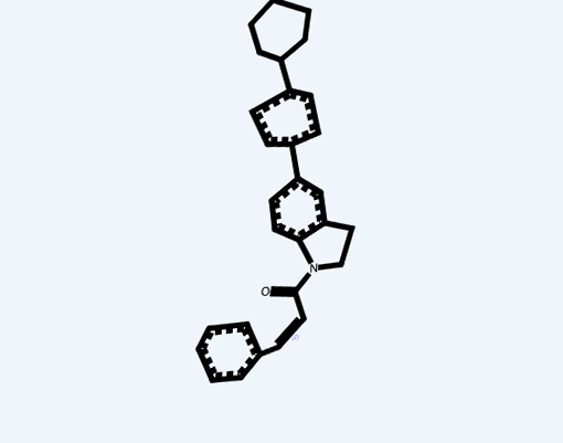 O=C(/C=C\c1ccccc1)N1CCc2cc(-c3ccc(C4CCCCC4)cc3)ccc21